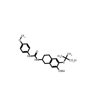 COc1cc2c(cc1SC(C)(C)C(=O)O)CCC(NC(=O)Nc1ccc(OC(F)(F)F)cc1)C2